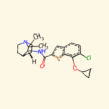 CC1(C)[C@H](NC(=O)c2cc3ccc(Cl)c(OC4CC4)c3s2)C2CCN1CC2